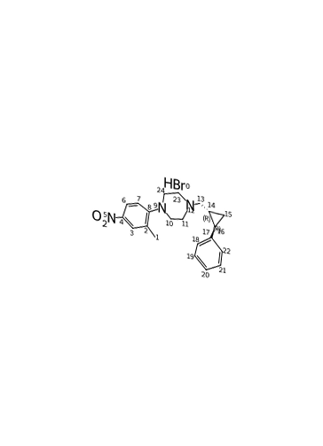 Br.Cc1cc([N+](=O)[O-])ccc1N1CCN(C[C@@H]2C[C@H]2c2ccccc2)CC1